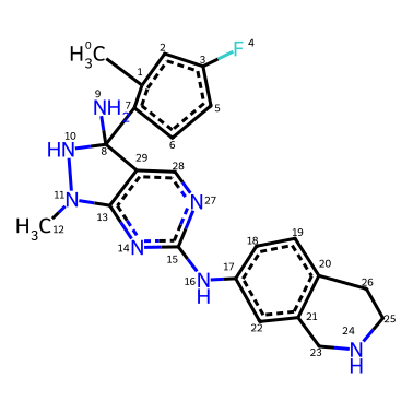 Cc1cc(F)ccc1C1(N)NN(C)c2nc(Nc3ccc4c(c3)CNCC4)ncc21